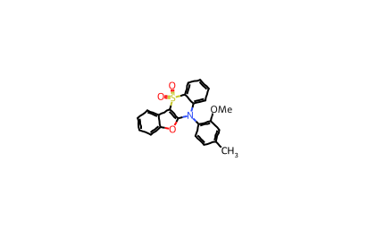 COc1cc(C)ccc1N1c2ccccc2S(=O)(=O)c2c1oc1ccccc21